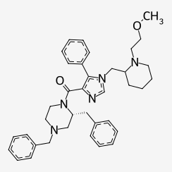 COCCN1CCCCC1Cn1cnc(C(=O)N2CCN(Cc3ccccc3)C[C@H]2Cc2ccccc2)c1-c1ccccc1